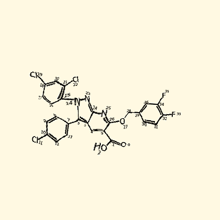 O=C(O)c1cc2c(-c3ccc(Cl)cc3)n(-c3ccc(Cl)cc3Cl)nc2nc1OCc1ccc(F)c(F)c1